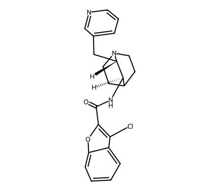 O=C(N[C@@H]1C2CCN(CC2)[C@H]1Cc1cccnc1)c1oc2ccccc2c1Cl